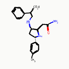 Cc1ccc([C@@H]2CC(NCC(C(=O)O)c3ccccc3)C(CC(N)=O)N2)cc1